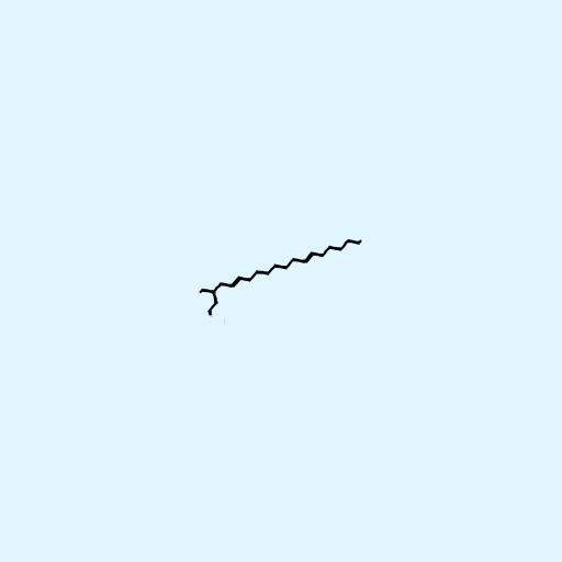 CCCCCCC=CCCCCCCC=CCC(CC)CCC